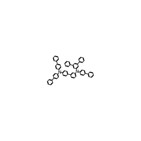 c1ccc(-c2ccc(N(c3ccc(-c4ccccc4)cc3)c3ccc(-c4cccc(N(c5ccc(-c6ccccc6)cc5)c5cc(-c6ccccc6)cc(-c6ccccc6)c5)c4)cc3)cc2)cc1